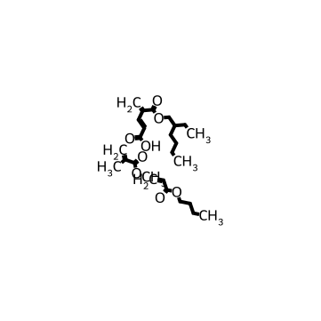 C=C(C)C(=O)OC.C=C(C=CC(=O)O)C(=O)OCC(CC)CCCC.C=CC(=O)OCCCC